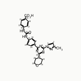 Cc1ccn(-c2nc(-c3ccc(NC(=O)Nc4ccc(C(=O)O)cc4)cc3)nc(N3CCOCC3)n2)n1